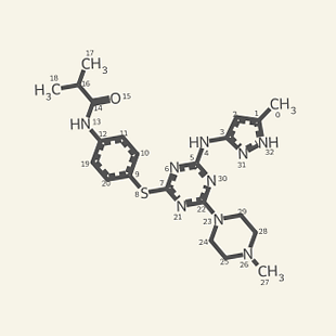 Cc1cc(Nc2nc(Sc3ccc(NC(=O)C(C)C)cc3)nc(N3CCN(C)CC3)n2)n[nH]1